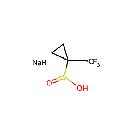 O=S(O)C1(C(F)(F)F)CC1.[NaH]